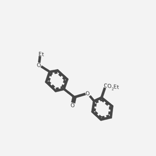 CCOC(=O)c1ccccc1OC(=O)c1ccc(OCC)cc1